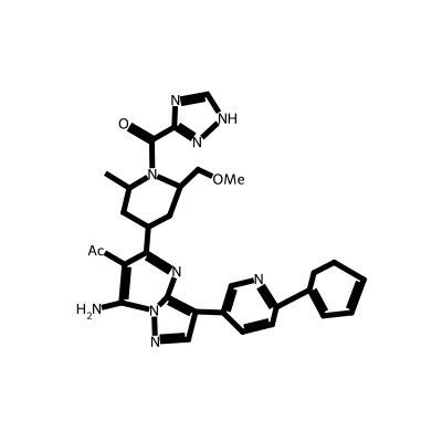 COCC1CC(c2nc3c(-c4ccc(C5=CC=CCC5)nc4)cnn3c(N)c2C(C)=O)CC(C)N1C(=O)c1nc[nH]n1